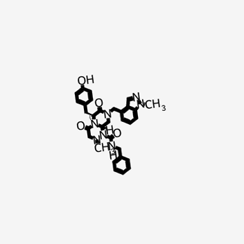 CN1CC(=O)N2[C@@H](Cc3ccc(O)cc3)C(=O)N(Cc3cccc4c3cnn4C)C[C@@H]2N1C(=O)NCc1ccccc1